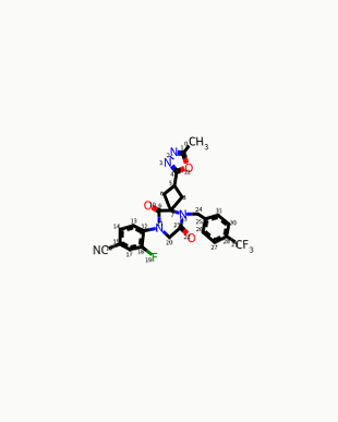 Cc1nnc(C2CC3(C2)C(=O)N(c2ccc(C#N)cc2F)CC(=O)N3Cc2ccc(C(F)(F)F)cc2)o1